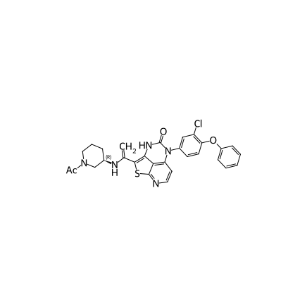 C=C(N[C@@H]1CCCN(C(C)=O)C1)c1sc2nccc3c2c1NC(=O)N3c1ccc(Oc2ccccc2)c(Cl)c1